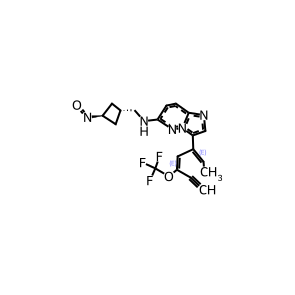 C#C/C(=C\C(=C/C)c1cnc2ccc(NC[C@H]3C[C@H](N=O)C3)nn12)OC(F)(F)F